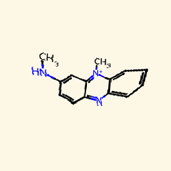 CNc1ccc2nc3ccccc3[n+](C)c2c1